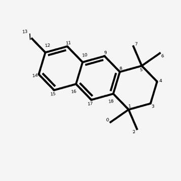 CC1(C)CCC(C)(C)c2cc3cc(I)ccc3cc21